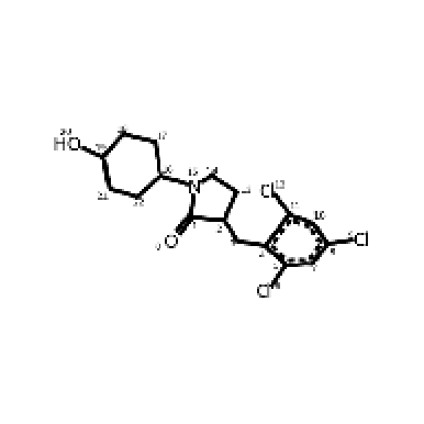 O=C1C(Cc2c(Cl)cc(Cl)cc2Cl)CCN1C1CCC(O)CC1